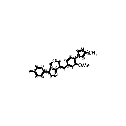 COc1cc(/C=C2\COCN3C2=NCC3c2ccc(F)cc2)ccc1-n1cnc(C)c1